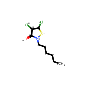 CCCCCCN1SC(Cl)C(Cl)C1=O